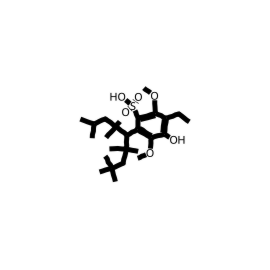 CCc1c(O)c(OC)c(C(C(C)(C)CC(C)C)C(C)(C)CC(C)(C)C)c(S(=O)(=O)O)c1OC